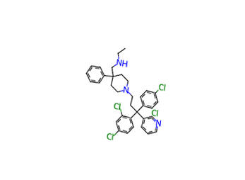 CCNCC1(c2ccccc2)CCN(CCC(c2cccnc2)(c2ccc(Cl)cc2Cl)c2ccc(Cl)cc2Cl)CC1